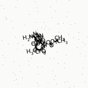 CC(C)COC(=O)OC[C@H]1O[C@@](C#N)(c2ccc3c(N)ncnn23)[C@@H]2OC(=O)CC(C)(C)CC(=O)O[C@@H]21